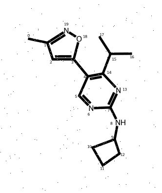 Cc1cc(-c2cnc(NC3CCC3)nc2C(C)C)on1